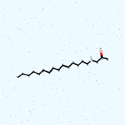 CCCCCCCCCCCCCC[CH2][Ti][CH2]C(C)=O